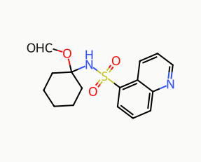 O=COC1(NS(=O)(=O)c2cccc3ncccc23)CCCCC1